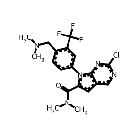 CN(C)Cc1ccc(-n2c(C(=O)N(C)C)cc3cnc(Cl)nc32)cc1C(F)(F)F